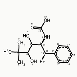 CC(C)(C)C(O)C(O)[C@@H](NC(=O)O)[C@H](F)c1ccccc1